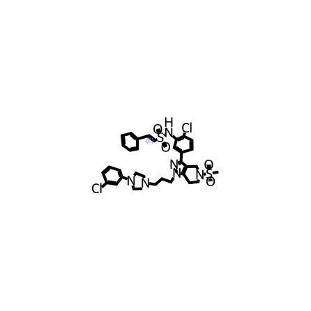 CS(=O)(=O)N1CCc2c(c(-c3ccc(Cl)c(NS(=O)(=O)/C=C/c4ccccc4)c3)nn2CCCN2CCN(c3cccc(Cl)c3)CC2)C1